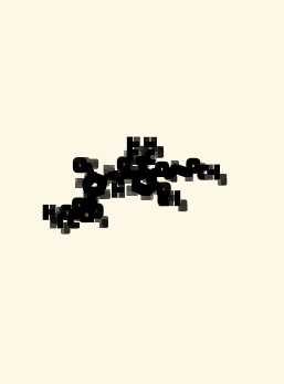 COCCCOc1c(OC)ccc(C(=O)NC[C@@H]2CN(C(=O)OC(C)(C)C)C[C@H]2C=O)c1C(C)C